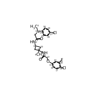 CN(CC(=O)NC1CC(C)(NC(=O)COc2ccc(Cl)c(F)c2)C1)c1ccc(Cl)cc1